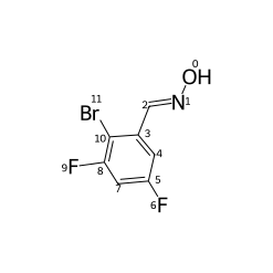 ON=Cc1cc(F)cc(F)c1Br